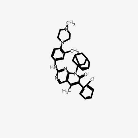 Cc1cc(Nc2ncc3c(C)c(-c4ccccc4Cl)c(=O)n(C45CC6CC(CC(C6)C4)C5)c3n2)ccc1N1CCN(C)CC1